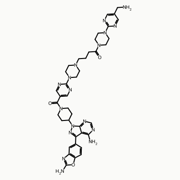 NCc1cnc(N2CCN(C(=O)CCCN3CCN(c4ncc(C(=O)N5CCC(n6nc(-c7ccc8oc(N)nc8c7)c7c(N)ncnc76)CC5)cn4)CC3)CC2)nc1